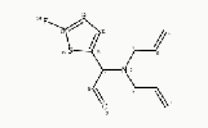 C=CCN(CC=C)C(C=O)c1ccc(F)s1